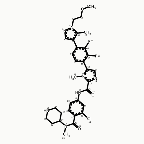 COCCn1ncc(-c2ccc(-c3cnc(C(=O)Nc4ccc(C(=O)N(C)C5CCNCC5)c(Cl)c4)n3C)c(F)c2F)c1C